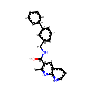 Cc1nc2ncccc2cc1C(=O)NCc1cccc(-c2ccccc2)c1